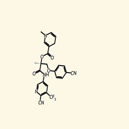 CN1C=CCC(C(=O)O[C@@](C)(COc2ccc(C#N)cc2)C(=O)Nc2cnc(C#N)c(C(F)(F)F)c2)=C1